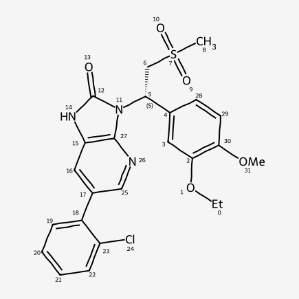 CCOc1cc([C@@H](CS(C)(=O)=O)n2c(=O)[nH]c3cc(-c4ccccc4Cl)cnc32)ccc1OC